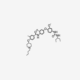 CCCCN1CCC(Oc2ccc(C(=O)Nc3ccc(Oc4ccc(NC(=O)NC(CC)CC)cc4OC)cc3F)cc2C)CC1